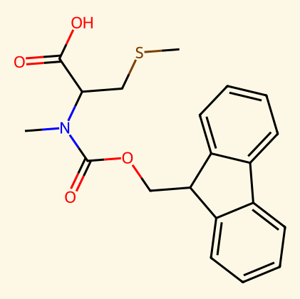 CSCC(C(=O)O)N(C)C(=O)OCC1c2ccccc2-c2ccccc21